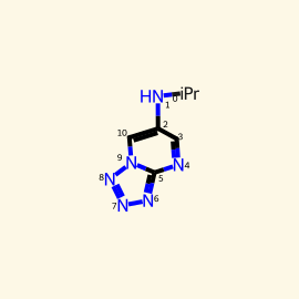 CC(C)Nc1cnc2nnnn2c1